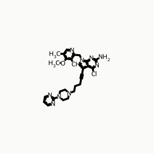 COc1c(C)cnc(Cn2cc(C#CCCCN3CCN(c4ncccn4)CC3)c3c(Cl)nc(N)nc32)c1C